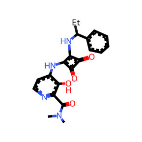 CCC(Nc1c(Nc2ccnc(C(=O)N(C)C)c2O)c(=O)c1=O)c1ccccc1